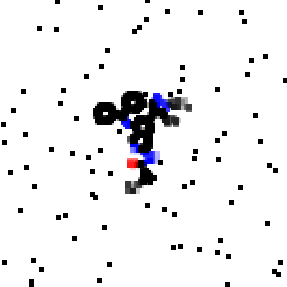 CC(C)c1c(-c2cc(N=C(c3ccccc3)c3ccccc3)c3cnc(NC(=O)[C@@H]4C[C@H]4C#N)cc3c2)cnn1C